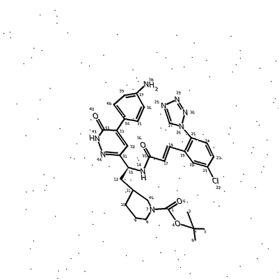 CC(C)(C)OC(=O)N1CCCC(C[C@H](NC(=O)/C=C/c2cc(Cl)ccc2-n2cnnn2)c2cc(-c3ccc(N)cc3)c(=O)[nH]n2)C1